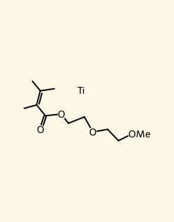 COCCOCCOC(=O)C(C)=C(C)C.[Ti]